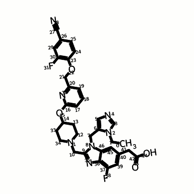 CCn1cncc1Cn1c(CN2CCC(Oc3cccc(COc4ccc(C#N)cc4F)n3)CC2)nc2c(F)cc(CC(=O)O)cc21